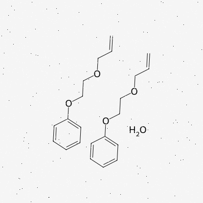 C=CCOCCOc1ccccc1.C=CCOCCOc1ccccc1.O